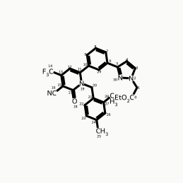 CCOC(=O)Cn1ccc(-c2cccc(-c3cc(C(F)(F)F)c(C#N)c(=O)n3Cc3ccc(C)cc3C)c2)n1